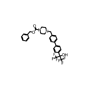 O=C(OCc1ccccc1)N1CCN(Cc2ccc(-c3ccc(C(O)(C(F)(F)F)C(F)(F)F)cc3)cc2)CC1